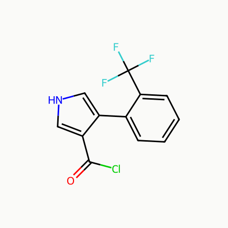 O=C(Cl)c1c[nH]cc1-c1ccccc1C(F)(F)F